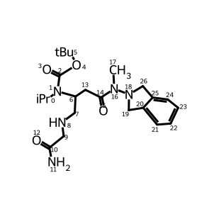 CC(C)N(C(=O)OC(C)(C)C)C(CNCC(N)=O)CC(=O)N(C)N1Cc2ccccc2C1